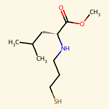 COC(=O)[C@@H](CC(C)C)NCCCS